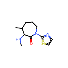 CNC1C(=O)N(c2nccs2)CCCC1C